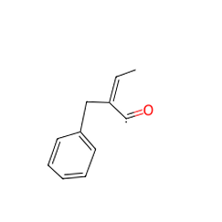 CC=C([C]=O)Cc1ccccc1